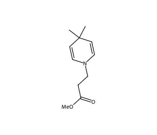 COC(=O)CCN1C=CC(C)(C)C=C1